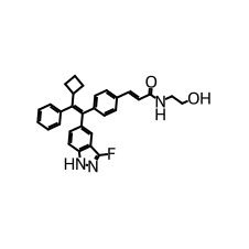 O=C(C=Cc1ccc(C(=C(c2ccccc2)C2CCC2)c2ccc3[nH]nc(F)c3c2)cc1)NCCO